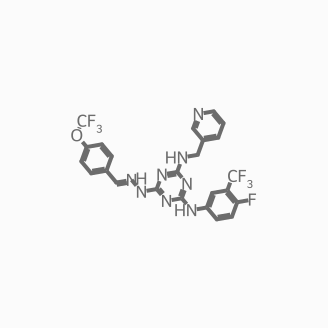 Fc1ccc(Nc2nc(NCc3cccnc3)nc(N/N=C/c3ccc(OC(F)(F)F)cc3)n2)cc1C(F)(F)F